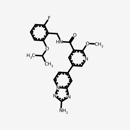 COc1ncc(-c2ccn3nc(N)nc3c2)cc1C(=O)NCc1c(F)cccc1OC(C)C